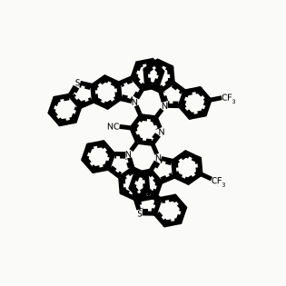 N#Cc1c(-n2c3ccccc3c3cc4sc5ccccc5c4cc32)c(-n2c3ccccc3c3cc(C(F)(F)F)ccc32)nc(-n2c3ccccc3c3cc(C(F)(F)F)ccc32)c1-n1c2ccccc2c2cc3sc4ccccc4c3cc21